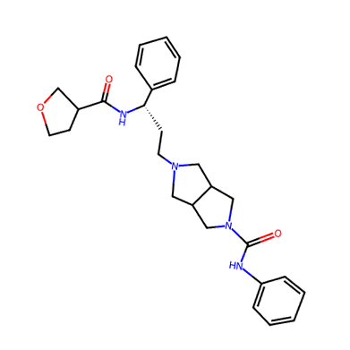 O=C(N[C@@H](CCN1CC2CN(C(=O)Nc3ccccc3)CC2C1)c1ccccc1)C1CCOC1